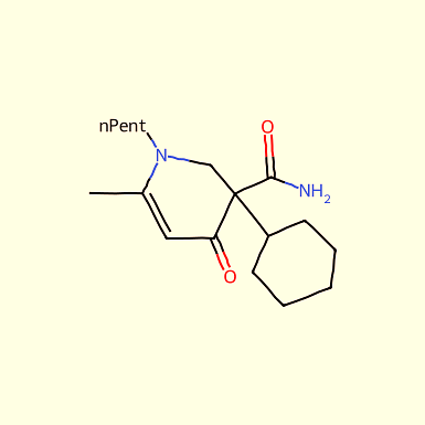 CCCCCN1CC(C(N)=O)(C2CCCCC2)C(=O)C=C1C